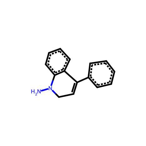 NN1CC=C(c2ccccc2)c2ccccc21